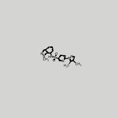 Cc1cnn(-c2ccc(S(=O)(=O)Nc3cccc4cnn(C)c34)cn2)c1C